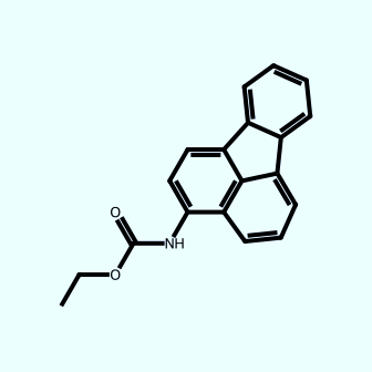 CCOC(=O)Nc1ccc2c3c(cccc13)-c1ccccc1-2